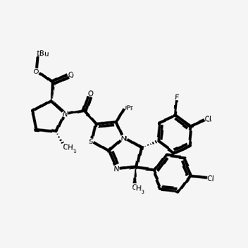 CC(C)C1=C(C(=O)N2[C@H](C)CC[C@H]2C(=O)OC(C)(C)C)SC2=N[C@@](C)(c3ccc(Cl)cc3)[C@@H](c3ccc(Cl)c(F)c3)N21